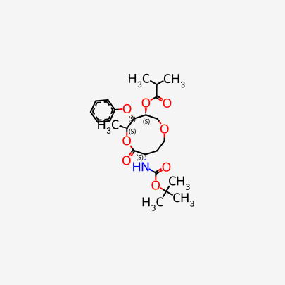 CC(C)C(=O)O[C@H]1COCC[C@H](NC(=O)OC(C)(C)C)C(=O)O[C@@H](C)[C@@H]1Oc1ccccc1